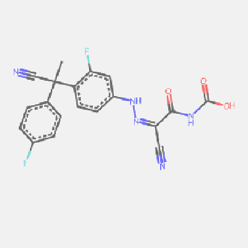 CC(C#N)(c1ccc(F)cc1)c1ccc(N/N=C(/C#N)C(=O)NC(=O)O)cc1F